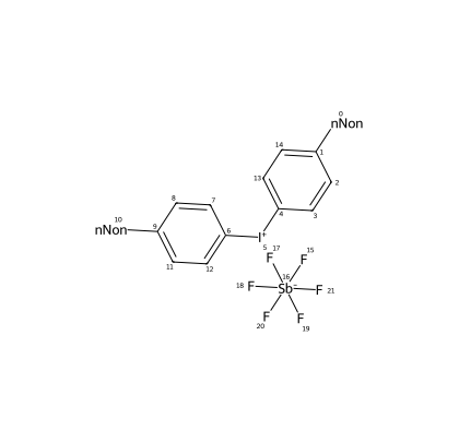 CCCCCCCCCc1ccc([I+]c2ccc(CCCCCCCCC)cc2)cc1.[F][Sb-]([F])([F])([F])([F])[F]